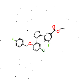 CCOC(=O)c1cc(F)cc(C2=C(c3cc(Cl)ccc3OCc3ccc(F)cc3)CCC2)c1